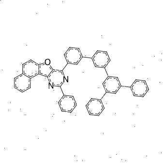 c1ccc(-c2cc(-c3ccccc3)cc(-c3cccc(-c4cccc(-c5nc(-c6ccccc6)nc6c5oc5ccc7ccccc7c56)c4)c3)c2)cc1